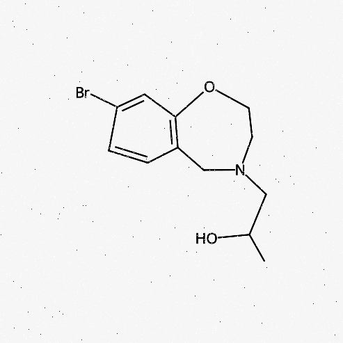 CC(O)CN1CCOc2cc(Br)ccc2C1